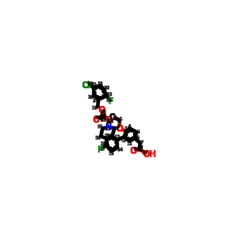 CCOc1ccc(CC(=O)O)cc1-c1ccc(F)c2c1CN(OC(=O)OCc1cc(Cl)ccc1F)CC2